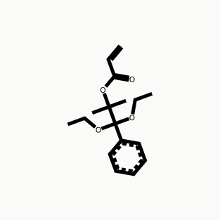 C=CC(=O)OC(C)(C)C(OCC)(OCC)c1ccccc1